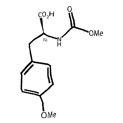 COC(=O)N[C@@H](Cc1ccc(OC)cc1)C(=O)O